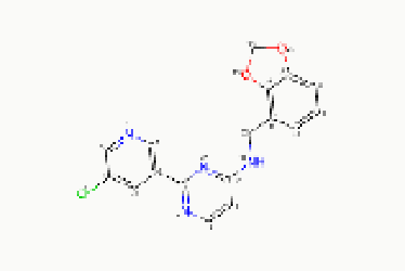 Clc1cncc(-c2nccc(NCc3cccc4c3OCO4)n2)c1